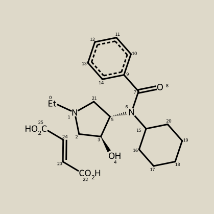 CCN1C[C@H](O)[C@@H](N(C(=O)c2ccccc2)C2CCCCC2)C1.O=C(O)/C=C/C(=O)O